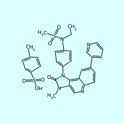 CCN(c1ccc(-n2c(=O)n(C)c3cnc4ccc(-c5cccnc5)cc4c32)cc1)S(C)(=O)=O.Cc1ccc(S(=O)(=O)O)cc1